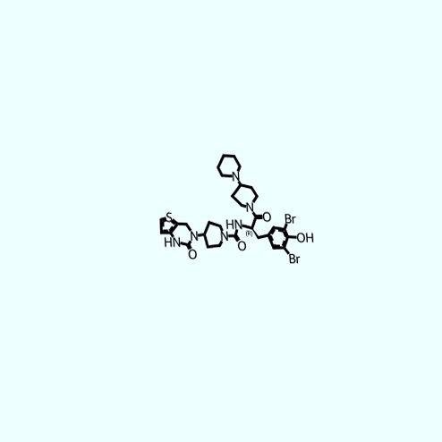 O=C(N[C@H](Cc1cc(Br)c(O)c(Br)c1)C(=O)N1CCC(N2CCCCC2)CC1)N1CCC(N2Cc3sccc3NC2=O)CC1